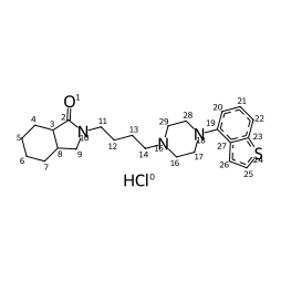 Cl.O=C1C2CCCCC2CN1CCCCN1CCN(c2cccc3sccc23)CC1